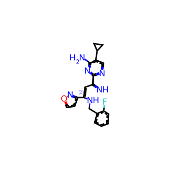 N=C(/C=C(\NCc1ccccc1F)c1ccon1)c1ncc(C2CC2)c(N)n1